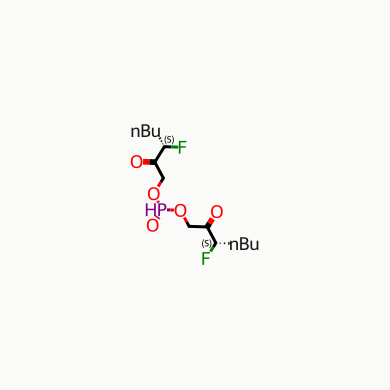 CCCC[C@H](F)C(=O)CO[PH](=O)OCC(=O)[C@@H](F)CCCC